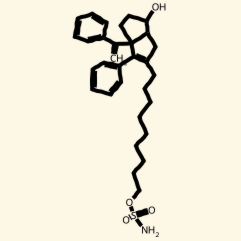 C=C(c1ccccc1)C12CCC(O)C1CC(CCCCCCCCCOS(N)(=O)=O)=C2c1ccccc1